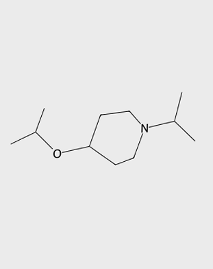 CC(C)OC1CCN(C(C)C)CC1